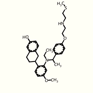 CCN(c1cc(OC)ccc1C1CCc2cc(O)ccc2C1)C(C)c1ccc(OCCNCCSC)cc1